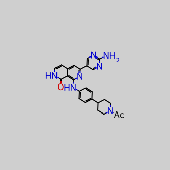 CC(=O)N1CCC(c2ccc(Nc3nc(-c4cnc(N)nc4)cc4cc[nH]c(=O)c34)cc2)CC1